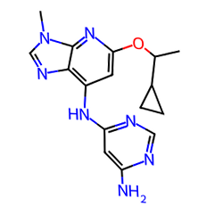 CC(Oc1cc(Nc2cc(N)ncn2)c2ncn(C)c2n1)C1CC1